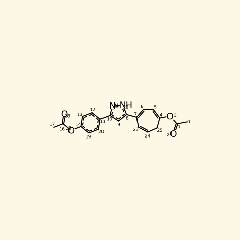 CC(=O)OC1=CC=C(c2cc(-c3ccc(OC(C)=O)cc3)n[nH]2)C=CC1